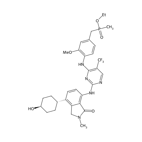 CCOP(C)(=O)Cc1ccc(Nc2nc(Nc3ccc([C@H]4CC[C@H](O)CC4)c4c3C(=O)N(C)C4)ncc2C(F)(F)F)c(OC)c1